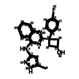 Cc1cc(Nc2nc([C@]3(c4ccc(F)cc4)C[C@@H](O)C3)nc3ccccc23)n[nH]1